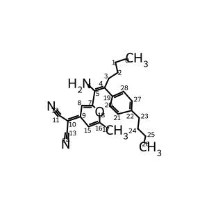 CCCCC(=C(N)C1=CC(=C(C#N)C#N)C=C(C)O1)c1ccc(CCCC)cc1